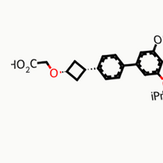 COc1cc(OC(C)C)cc(-c2ccc([C@H]3C[C@@H](OCC(=O)O)C3)cc2)c1